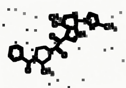 COc1cnc(-n2ccc(C)n2)c2[nH]cc(C(=O)C(=O)N3CCN(C(=O)c4ccccc4)[C@H](C)C3)c12